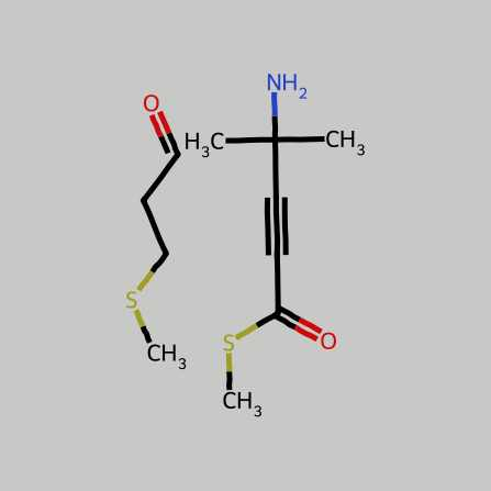 CSC(=O)C#CC(C)(C)N.CSCCC=O